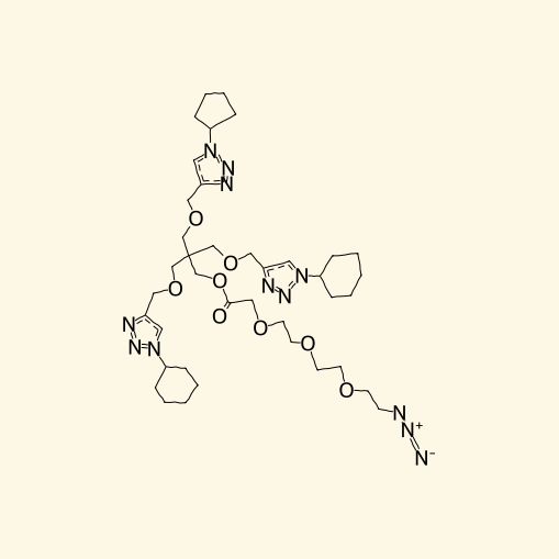 [N-]=[N+]=NCCOCCOCCOCC(=O)OCC(COCc1cn(C2CCCCC2)nn1)(COCc1cn(C2CCCCC2)nn1)COCc1cn(C2CCCC2)nn1